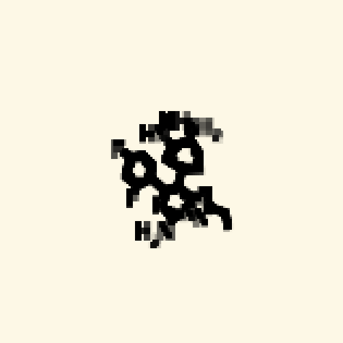 CCc1nc2c(-c3ccc(N)c(NN)c3)c(-c3ccc(F)cc3F)nc(N)n2n1